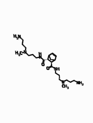 CN(CCCN)CCCNC(=O)[C@@H]1C2C=CC(C2)[C@H]1C(=O)NCCCN(C)CCCN